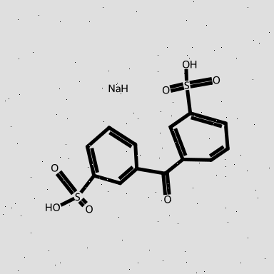 O=C(c1cccc(S(=O)(=O)O)c1)c1cccc(S(=O)(=O)O)c1.[NaH]